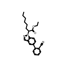 CCCCCCC(C(=O)OCC)n1ncc2cc(-c3ccccc3C#N)ccc21